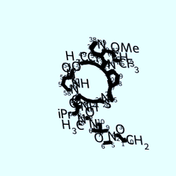 C=CC(=O)N1CCOC2(C1)CN(C(=O)N(C)C(C(=O)N[C@H]1Cc3nc(cs3)-c3ccc4c(c3)c(c(-c3cccnc3[C@H](C)OC)n4CC(F)(F)F)CC(C)(C)COC(=O)[C@@H]3CCCN(N3)C1=O)C(C)C)C2